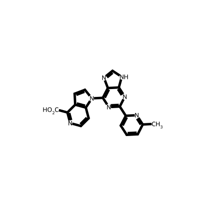 Cc1cccc(-c2nc(-n3ccc4c(C(=O)O)nccc43)c3nc[nH]c3n2)n1